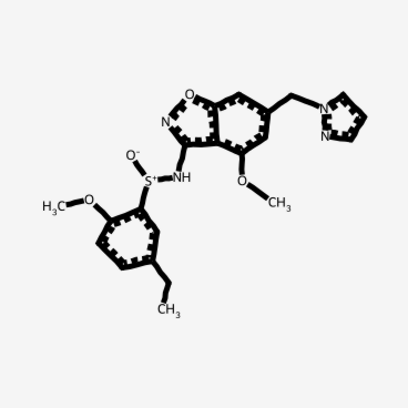 CCc1ccc(OC)c([S+]([O-])Nc2noc3cc(Cn4cccn4)cc(OC)c23)c1